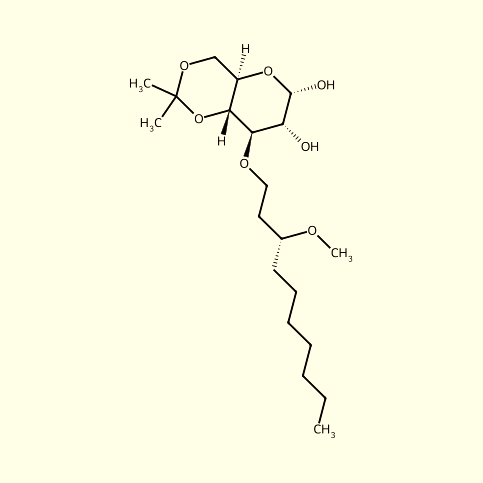 CCCCCCC[C@H](CCO[C@@H]1[C@@H](O)[C@@H](O)O[C@@H]2COC(C)(C)O[C@@H]12)OC